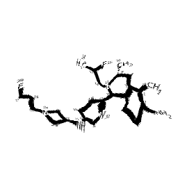 Cc1c(N)ccc2c1C[C@@H](C)N(CC(C)F)C2c1ccc(NC2CN(CCCF)C2)cn1